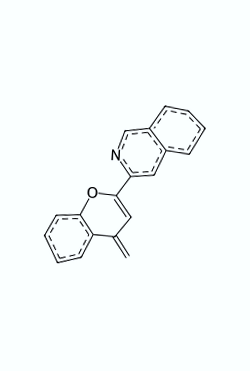 C=C1C=C(c2cc3ccccc3cn2)Oc2ccccc21